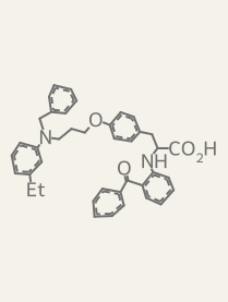 CCc1cccc(N(CCCOc2ccc(CC(Nc3ccccc3C(=O)c3ccccc3)C(=O)O)cc2)Cc2ccccc2)c1